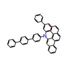 c1ccc(-c2ccc(-c3ccc(N(c4cccc(-c5ccccc5)c4)c4cc5ccccc5c5ccc6ccccc6c45)cc3)cc2)cc1